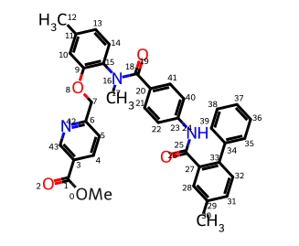 COC(=O)c1ccc(COc2cc(C)ccc2N(C)C(=O)c2ccc(NC(=O)c3cc(C)ccc3-c3ccccc3)cc2)nc1